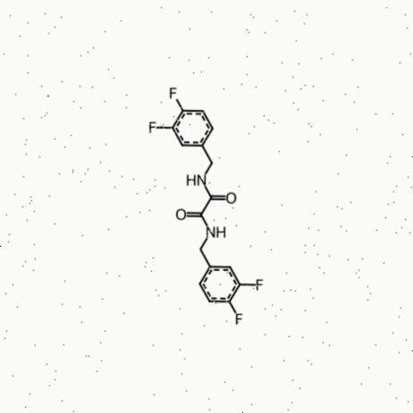 O=C(NCc1ccc(F)c(F)c1)C(=O)NCc1ccc(F)c(F)c1